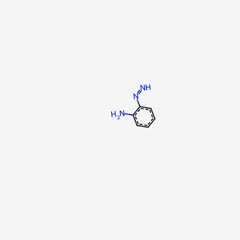 N=Nc1ccccc1N